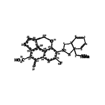 CNCC12C=CC=CC1CN(c1c(F)cc3c(=O)c(C(=O)O)c4scc5n4c3c1OC5)C2